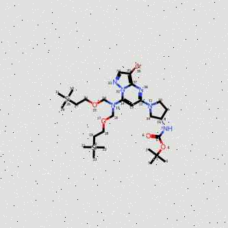 CC(C)(C)OC(=O)N[C@H]1CCN(c2cc(N(COCC[Si](C)(C)C)COCC[Si](C)(C)C)n3ncc(Br)c3n2)C1